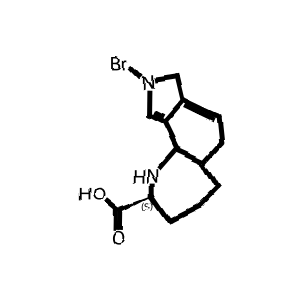 O=C(O)[C@@H]1CCCC2CC=C3CN(Br)C=C3C2N1